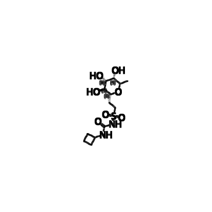 CC1O[C@H](CCS(=O)(=O)NC(=O)NC2CCC2)[C@@H](O)[C@H](O)[C@@H]1O